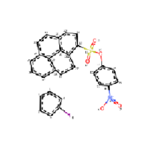 Ic1ccccc1.O=[N+]([O-])c1ccc(OS(=O)(=O)c2ccc3ccc4cccc5ccc2c3c45)cc1